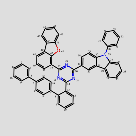 c1ccc(-c2ccc(-c3ccccc3-c3nc(-c4ccc5c(c4)c4ccccc4n5-c4ccccc4)nc(-c4cccc5c4oc4ccccc45)n3)cc2)cc1